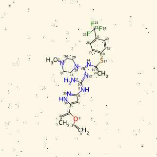 C=CO/C(=C\C)c1cc(N/C(N)=N/C(=N\C(=C)Sc2ccc(C(F)(F)F)cc2)N2CCN(C)CC2)n[nH]1